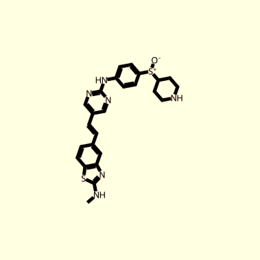 CNc1nc2cc(/C=C/c3cnc(Nc4ccc([S+]([O-])C5CCNCC5)cc4)nc3)ccc2s1